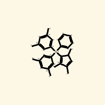 CC1=CC(C)C([Si](c2ccccc2)(c2cc(C)cc(C)c2)c2cc(C)cc(C)c2)=C1C